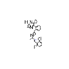 CON=C(C(N)=O)c1ccccc1CON=C(C)/C=C/c1c(F)cccc1Cl